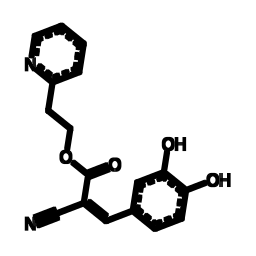 N#CC(=Cc1ccc(O)c(O)c1)C(=O)OCCc1ccccn1